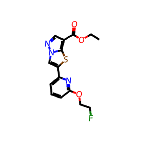 CCOC(=O)c1cnn2cc(-c3cccc(OCCF)n3)sc12